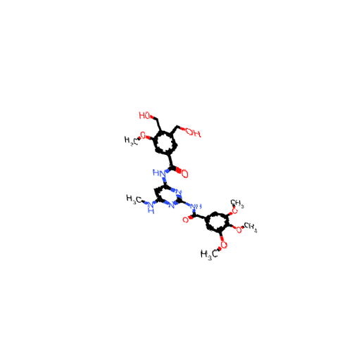 CNc1cc(NC(=O)c2cc(CO)c(CO)c(OC)c2)nc(NC(=O)c2cc(OC)c(OC)c(OC)c2)n1